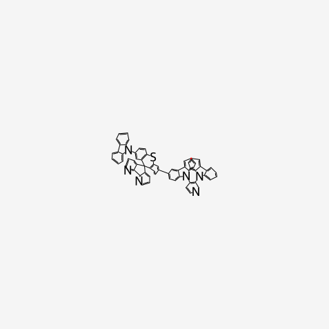 c1cnc2c(c1)C1(c3ccc(-c4ccc5c(c4)c4ccccc4n5-c4ccncc4-n4c5ccccc5c5ccccc54)cc3Sc3ccc(-n4c5ccccc5c5ccccc54)cc31)c1cccnc1-2